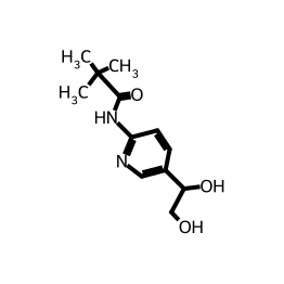 CC(C)(C)C(=O)Nc1ccc(C(O)CO)cn1